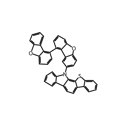 c1ccc2c(c1)oc1cccc(-c3cccc4oc5ccc(-n6c7ccccc7c7ccc8c9ccccc9sc8c76)cc5c34)c12